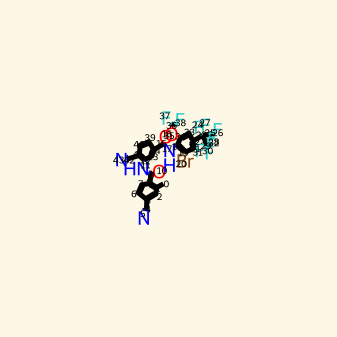 Cc1cc(C#N)ccc1C(=O)Nc1cc(C(=O)Nc2c(Br)cc(C(F)(C(F)(F)F)C(F)(F)F)cc2OC(F)F)ccc1C#N